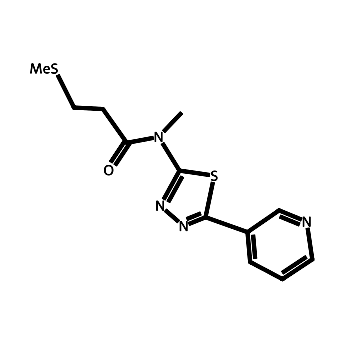 CSCCC(=O)N(C)c1nnc(-c2cccnc2)s1